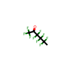 CC(F)(F)C(F)(F)C(F)(F)C(=O)C(F)(F)F